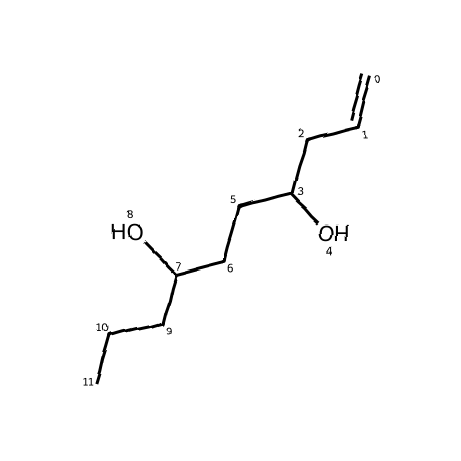 C=CCC(O)CCC(O)CCC